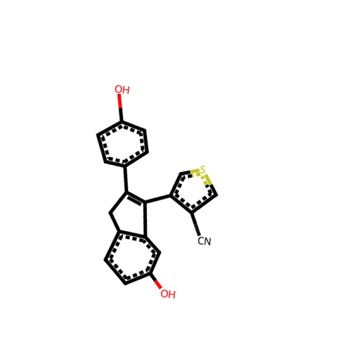 N#Cc1cscc1C1=C(c2ccc(O)cc2)Cc2ccc(O)cc21